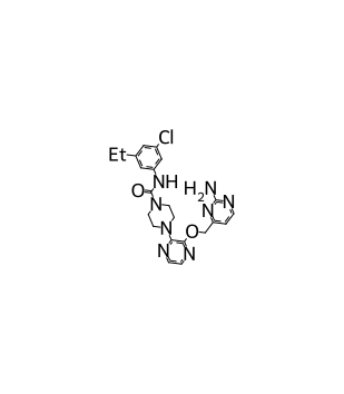 CCc1cc(Cl)cc(NC(=O)N2CCN(c3nccnc3OCc3ccnc(N)n3)CC2)c1